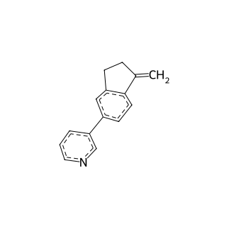 C=C1CCc2cc(-c3cccnc3)ccc21